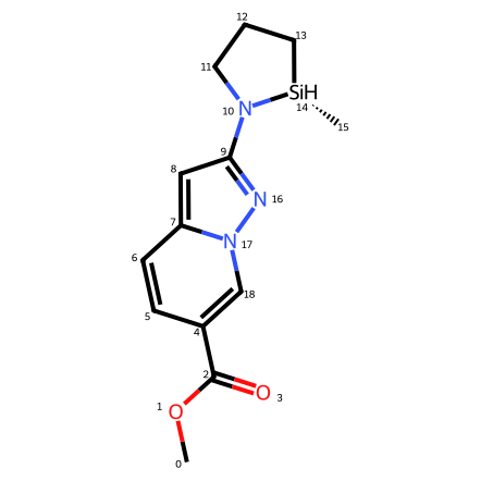 COC(=O)c1ccc2cc(N3CCC[Si@@H]3C)nn2c1